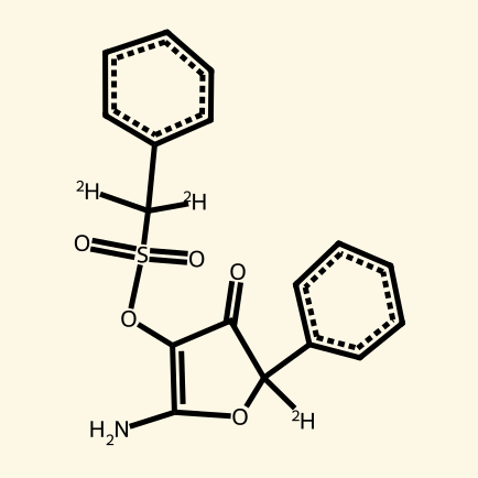 [2H]C1(c2ccccc2)OC(N)=C(OS(=O)(=O)C([2H])([2H])c2ccccc2)C1=O